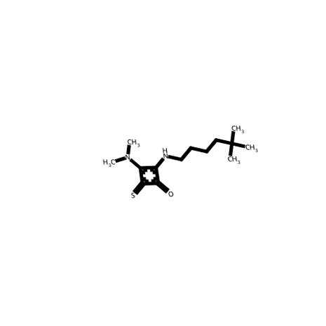 CN(C)c1c(NCCCCC(C)(C)C)c(=O)c1=S